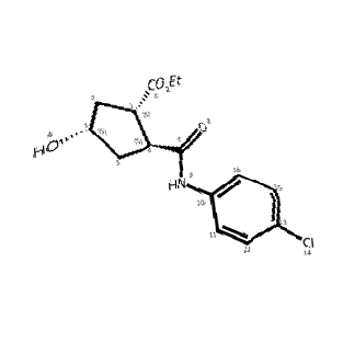 CCOC(=O)[C@H]1C[C@@H](O)C[C@@H]1C(=O)Nc1ccc(Cl)cc1